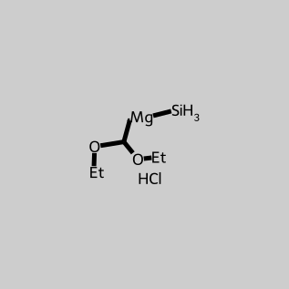 CCOC([CH2][Mg][SiH3])OCC.Cl